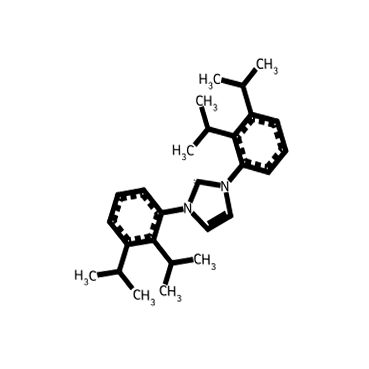 CC(C)c1cccc(N2[C]N(c3cccc(C(C)C)c3C(C)C)C=C2)c1C(C)C